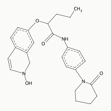 CCCC(Oc1ccc2c(c1)CN(O)C=C2)C(=O)Nc1ccc(N2CCCCC2=O)cc1